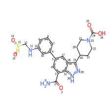 NC(=O)c1cc(-c2cccc(NC[SH](=O)=O)c2)cc2c(C3CCN(C(=O)O)CC3)n[nH]c12